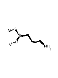 CO[Si](CCCN)OC